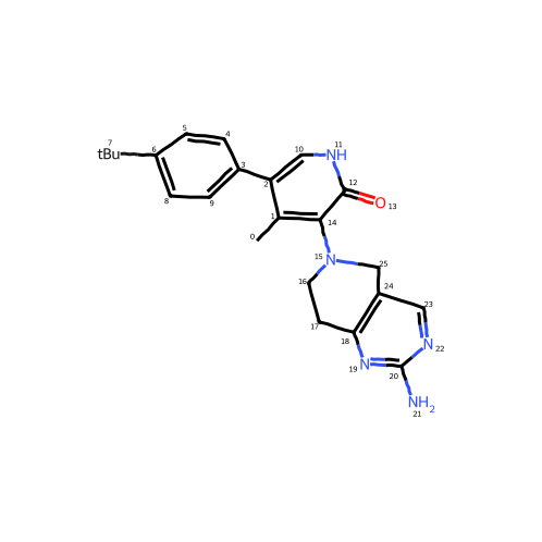 Cc1c(-c2ccc(C(C)(C)C)cc2)c[nH]c(=O)c1N1CCc2nc(N)ncc2C1